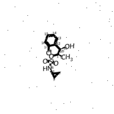 C[C@@H](OS(=O)(=O)NC1CC1)[C@H](O)c1ccccc1Cl